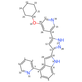 c1ccc(-c2cccc3[nH]c(-c4cc(-c5cncc(OC6CCCCC6)c5)[nH]n4)cc23)nc1